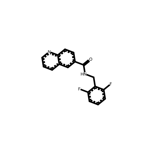 O=C(NCc1c(F)cccc1F)c1ccc2ncccc2c1